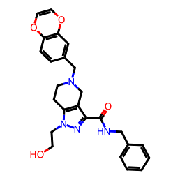 O=C(NCc1ccccc1)c1nn(CCO)c2c1CN(Cc1ccc3c(c1)OC=CO3)CC2